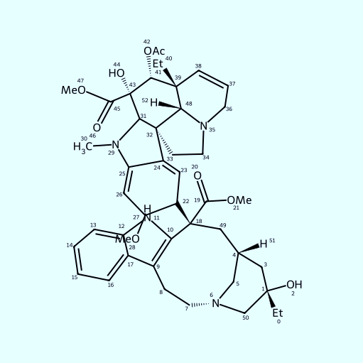 CC[C@]1(O)C[C@@H]2C[N@@](CCc3c([nH]c4ccccc34)[C@@](C(=O)OC)(C3C=C4C(=CC3OC)N(C)C3[C@]45CCN4CC=C[C@@](CC)([C@@H](OC(C)=O)[C@]3(O)C(=O)OC)[C@H]45)C2)C1